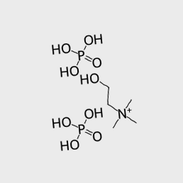 C[N+](C)(C)CCO.O=P(O)(O)O.O=P(O)(O)O